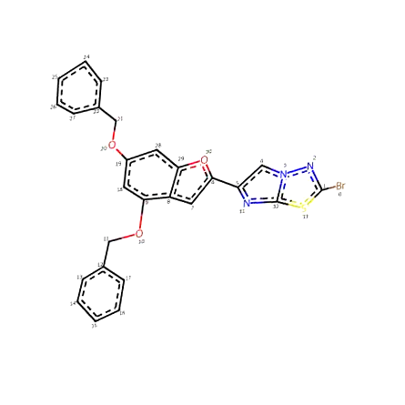 Brc1nn2cc(-c3cc4c(OCc5ccccc5)cc(OCc5ccccc5)cc4o3)nc2s1